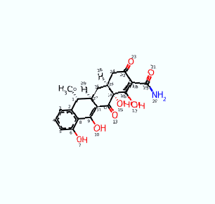 C[C@H]1c2cccc(O)c2C(O)=C2C(=O)[C@]3(O)C(O)=C(C(N)=O)C(=O)C[C@@H]3C[C@@H]21